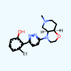 CCc1cccc(O)c1-c1ccc(N2CCO[C@@H]3CCN(C)C[C@@H]32)nn1